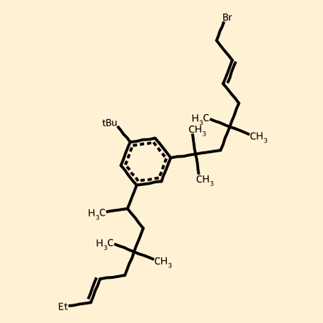 CC/C=C/CC(C)(C)CC(C)c1cc(C(C)(C)C)cc(C(C)(C)CC(C)(C)C/C=C/CBr)c1